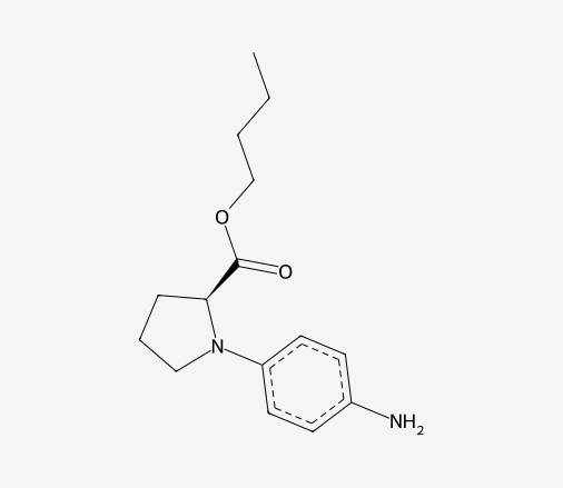 CCCCOC(=O)[C@@H]1CCCN1c1ccc(N)cc1